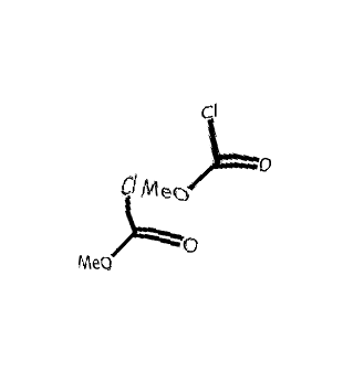 COC(=O)Cl.COC(=O)Cl